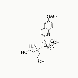 COc1ccc2nc(NCCC(N)(CCO)CCO)ccc2c1.O=[N+]([O-])O.O=[N+]([O-])O